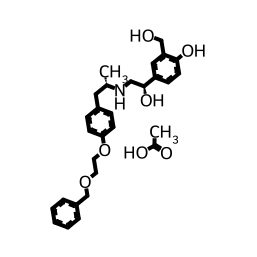 CC(=O)O.C[C@@H](Cc1ccc(OCCOCc2ccccc2)cc1)NC[C@H](O)c1ccc(O)c(CO)c1